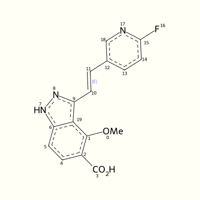 COc1c(C(=O)O)ccc2[nH]nc(/C=C/c3ccc(F)nc3)c12